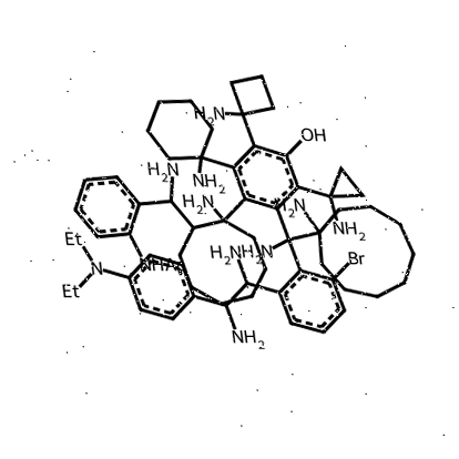 CCN(CC)c1ccc(C(N)[C](N)c2cccc(Br)c2C(N)(c2c(C3(N)CC3)c(O)c(C3(N)CCC3)c(C3(N)CCCCC3)c2C2(N)CCCCCCC2C(N)c2ccccc2NC(C)=O)C2(N)CCCCCCCC2)cc1